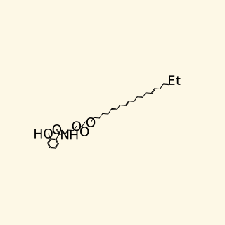 CCC=CCC=CCC=CCC=CCC=CCCCCOCC(=O)OCCNC(=O)c1ccccc1O